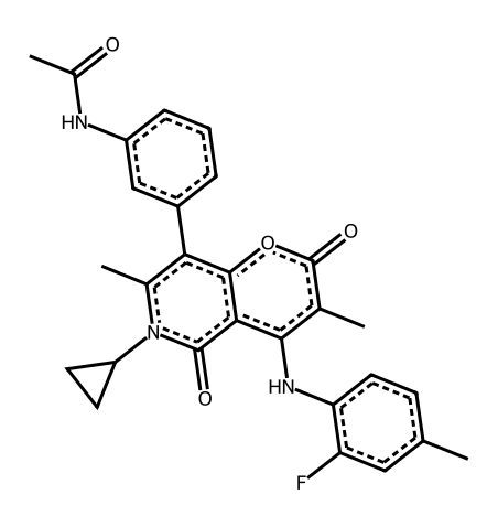 CC(=O)Nc1cccc(-c2c(C)n(C3CC3)c(=O)c3c(Nc4ccc(C)cc4F)c(C)c(=O)oc23)c1